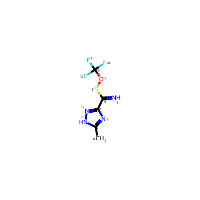 Cc1nc(C(=N)SOC(F)(F)F)n[nH]1